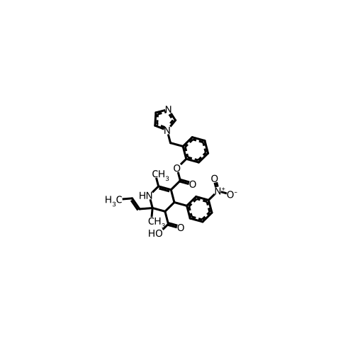 CC=CC1(C)NC(C)=C(C(=O)Oc2ccccc2Cn2ccnc2)C(c2cccc([N+](=O)[O-])c2)C1C(=O)O